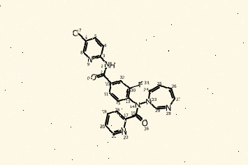 O=C(Nc1ccc(Cl)cn1)c1ccc(N(C(=O)c2ccccn2)N2C=CC=CN=C2)c(F)c1